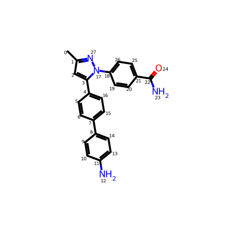 Cc1cc(-c2ccc(-c3ccc(N)cc3)cc2)n(-c2ccc(C(N)=O)cc2)n1